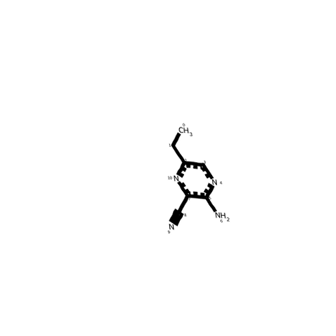 CCc1cnc(N)c(C#N)n1